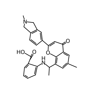 Cc1cc(C(C)Nc2ccccc2C(=O)O)c2oc(-c3ccc4c(c3)CN(C)C4)cc(=O)c2c1